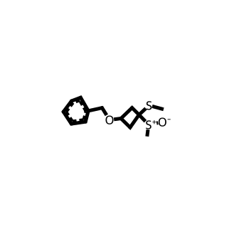 CSC1([S+](C)[O-])CC(OCc2ccccc2)C1